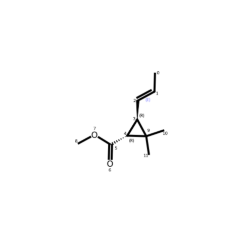 C/C=C/[C@@H]1[C@@H](C(=O)OC)C1(C)C